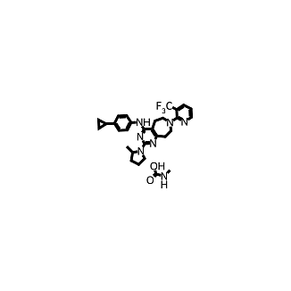 CC1CCCN1c1nc2c(c(Nc3ccc(C4CC4)cc3)n1)CCN(c1ncccc1C(F)(F)F)CC2.CNC(=O)O